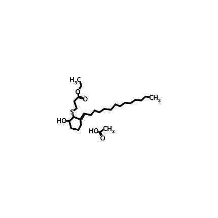 CC(=O)O.CCCCCCCCCCCCCC=C1CCCC(O)C1SCCC(=O)OCC